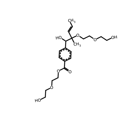 CC=CC(C)(OCCOCCO)C(O)c1ccc(C(=O)OCCOCCO)cc1